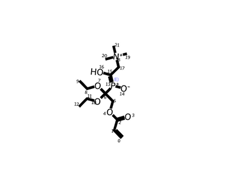 C=CC(=O)OCC(OCC)(OCC)/[P+]([O-])=C(\O)C[N+](C)(C)C